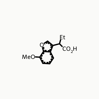 CCC(C(=O)O)c1coc2c(OC)cccc12